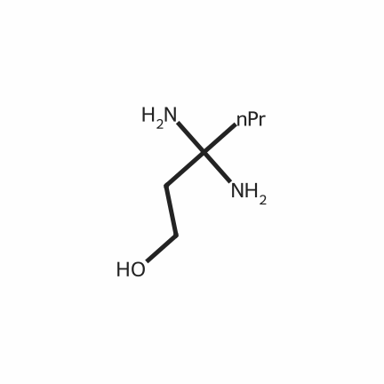 CCCC(N)(N)CCO